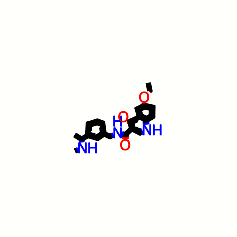 CCOc1ccc2[nH]cc(C(=O)NCc3cccc(C(C)NC)c3)c(=O)c2c1